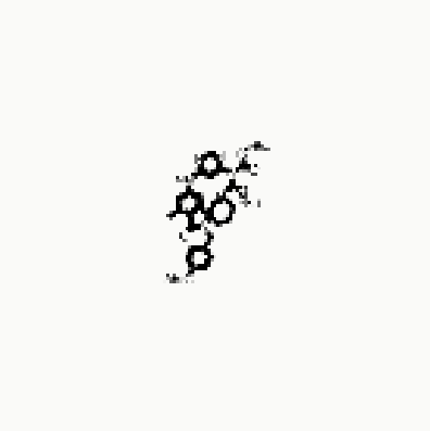 COc1ccc(CN2C(=O)c3c(C)cc(Nc4cc(N(C(=O)OC(C)(C)C)C(=O)OC(C)(C)C)ncn4)cc3C23CCCCC3)cc1